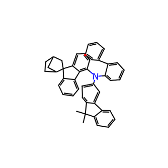 CC1(C)c2ccccc2-c2cc(N(c3ccccc3-c3ccccc3)c3cccc4c3-c3ccccc3C43CC4CCC3C4)ccc21